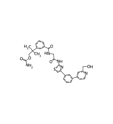 CC(C)(COC(N)=O)c1cccc(C(=O)NCC(=O)Nc2nc(-c3cccc(-c4ccnc(CO)c4)c3)cs2)c1